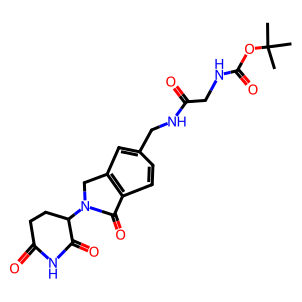 CC(C)(C)OC(=O)NCC(=O)NCc1ccc2c(c1)CN(C1CCC(=O)NC1=O)C2=O